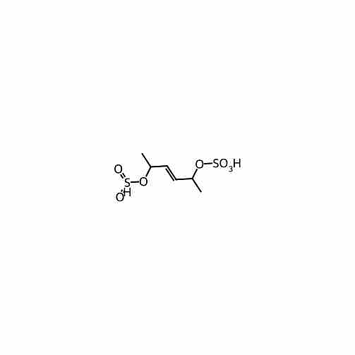 CC(/C=C/C(C)OS(=O)(=O)O)O[SH](=O)=O